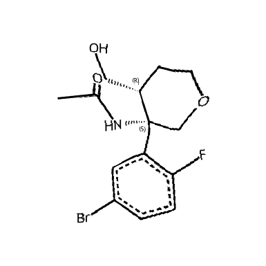 CC(=O)N[C@@]1(c2cc(Br)ccc2F)COCC[C@H]1CO